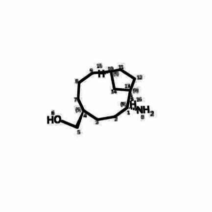 N[C@@H]1CC[C@@H](CO)CCC[C@H]2CC[C@@H]1C2